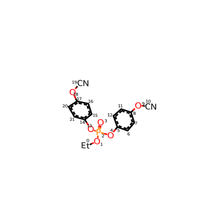 CCOP(=O)(Oc1ccc(OC#N)cc1)Oc1ccc(OC#N)cc1